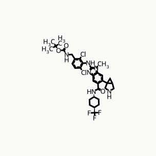 Cn1c(Nc2c(Cl)ccc(CNC(=O)OC(C)(C)C)c2Cl)nc2cc(C(=O)N[C@H]3CC[C@H](C(F)(F)F)CC3)c(C34CNCC3C4)cc21